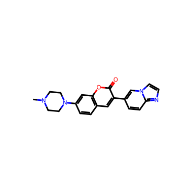 CN1CCN(c2ccc3cc(-c4ccc5nccn5c4)c(=O)oc3c2)CC1